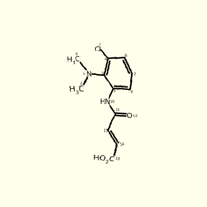 CN(C)c1c(Cl)cccc1NC(=O)/C=C/C(=O)O